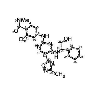 CNC(=O)c1ccc(Nc2ncc(-c3nc(C)no3)c(N[C@H](CO)c3ccccc3)n2)cc1Cl